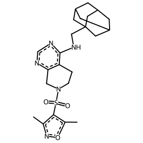 Cc1noc(C)c1S(=O)(=O)N1CCc2c(ncnc2NCC23CC4CC(CC(C4)C2)C3)C1